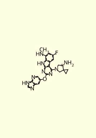 CNc1cc(F)cc2c1[nH]c1nc(Oc3cnc4[nH]cnc4c3)nc(N3C[C@H](N)C4(CC4)C3)c12